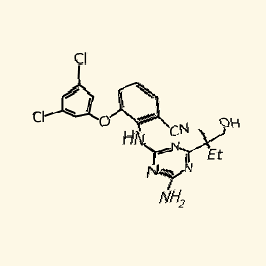 CCC(C)(CO)c1nc(N)nc(Nc2c(C#N)cccc2Oc2cc(Cl)cc(Cl)c2)n1